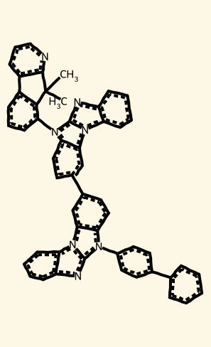 CC1(C)c2ncccc2-c2cccc(-n3c4ccc(-c5ccc6c(c5)n5c7ccccc7nc5n6-c5ccc(-c6ccccc6)cc5)cc4n4c5ccccc5nc34)c21